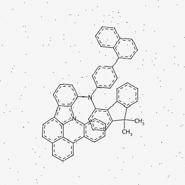 CC1(C)c2ccccc2-c2c(N(c3ccc(-c4cccc5ccccc45)cc3)c3cccc4c5ccc6cccc7c8ccccc8n(c34)c5c67)cccc21